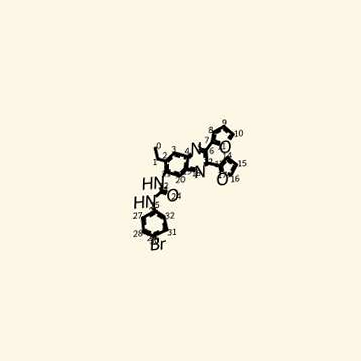 CCc1cc2nc(-c3ccco3)c(-c3ccco3)nc2cc1NC(=O)Nc1ccc(Br)cc1